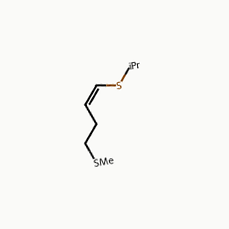 CSCC/C=C\SC(C)C